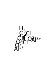 CO.ClCCl.[Al+3].[Al+3].[O-2].[O-2].[O-2]